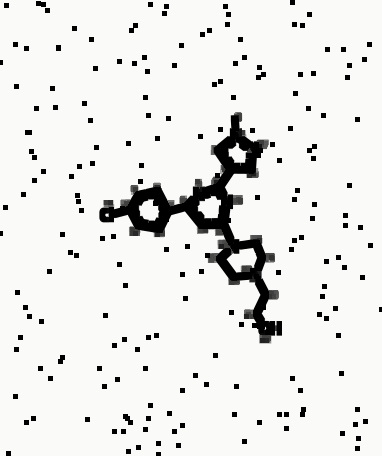 Cn1cc(-c2nc(-c3ccc(Cl)cc3)cc(N3CCN(CCO)CC3)n2)cn1